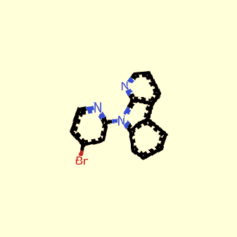 Brc1ccnc(-n2c3ccccc3c3cccnc32)c1